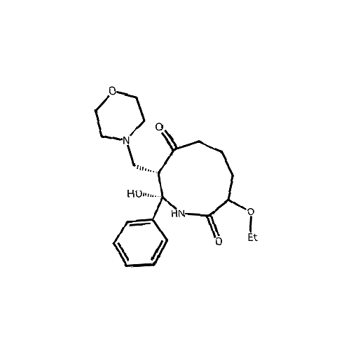 CCOC1CCCC(=O)[C@@H](CN2CCOCC2)[C@](O)(c2ccccc2)NC1=O